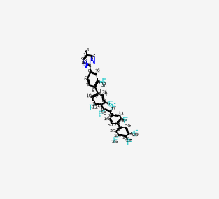 Cc1cnc(-c2ccc(-c3cc(F)c(/C(F)=C(\F)c4ccc(-c5cc(F)c(F)c(F)c5)c(F)c4)c(F)c3)c(F)c2)nc1